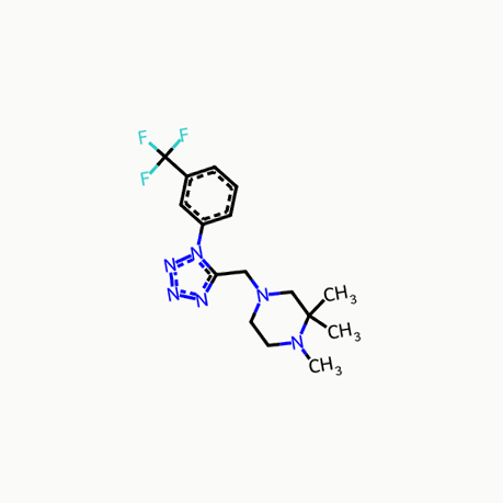 CN1CCN(Cc2nnnn2-c2cccc(C(F)(F)F)c2)CC1(C)C